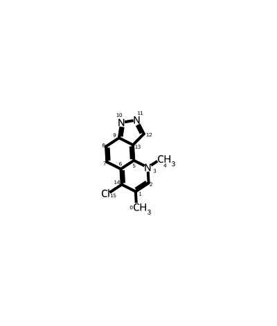 Cc1cn(C)c2c(ccc3nncc32)c1Cl